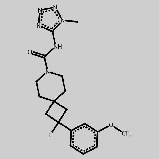 Cn1nnnc1NC(=O)N1CCC2(CC1)CC(F)(c1cccc(OC(F)(F)F)c1)C2